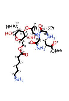 COC(=O)CC[C@H](C(N)=O)N(CC(C)O[C@H]1[C@H](O)[C@@H](COC(=O)CCCCCN)O[C@H](O)[C@@H]1NC(C)=O)C(=O)[C@@H](N)C(C)C